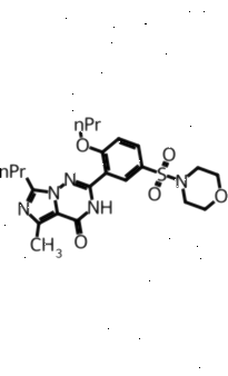 CCCOc1ccc(S(=O)(=O)N2CCOCC2)cc1-c1nn2c(CCC)nc(C)c2c(=O)[nH]1